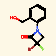 O=C1N(c2ccccc2CO)CC1(F)Br